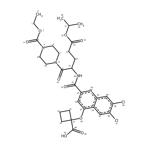 CCOC(=O)N1CCN(C(=O)C(CCC(=O)OC(C)C)NC(=O)c2cc(OC3(C(=O)O)CCC3)c3cc(Cl)c(Cl)cc3n2)CC1